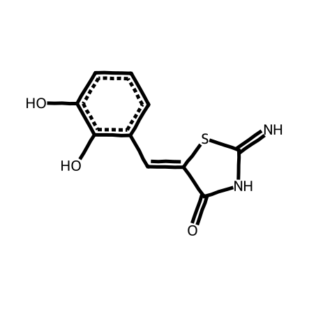 N=C1NC(=O)/C(=C/c2cccc(O)c2O)S1